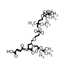 CC(C)(CCO[Si](C)(C)C(C)(C)C)COS(=O)(=O)CCOC[C@@H]1C[C@H](NC(=O)/C=C/C(=O)O)C(=O)N1CC(=O)OC(C)(C)C